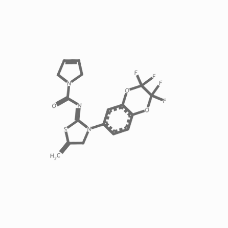 C=C1CN(c2ccc3c(c2)OC(F)(F)C(F)(F)O3)/C(=N/C(=O)N2CC=CC2)S1